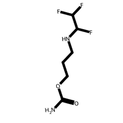 NC(=O)OCCCNC(F)C(F)F